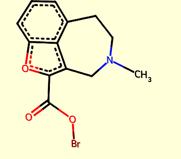 CN1CCc2cccc3oc(C(=O)OBr)c(c23)C1